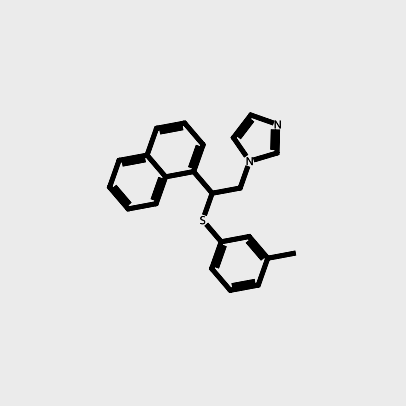 Cc1cccc(SC(Cn2ccnc2)c2cccc3ccccc23)c1